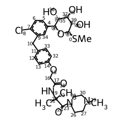 CS[C@H]1O[C@@H](c2ccc(Cl)c(Cc3ccc(OCC(=O)NC(C)(C)C(=O)N4CCN(C)CC4)cc3)c2)[C@H](O)[C@@H](O)[C@@H]1O